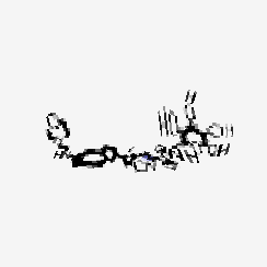 N#C/C(=C\c1ccc(-c2ccc3cc(NCCN4CCOCC4)ccc3c2)s1)S(=O)(=O)NC[C@H]1OC(O)[C@H](O)[C@@H](O)[C@@H]1O